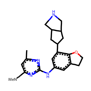 CNc1cc(C)nc(Nc2cc3c(c(C4CC5CNCC5C4)c2)OCC3)n1